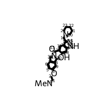 CNCCOc1ccc2c(c1)CN(C(=O)c1cc3c(CN4CCCCC4)n[nH]c3cc1O)C2